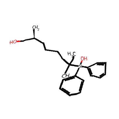 C[C@H](CO)CCCCC(C)(C)[Si](O)(c1ccccc1)c1ccccc1